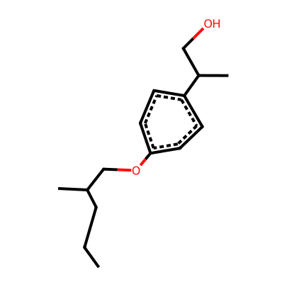 CCCC(C)COc1ccc(C(C)CO)cc1